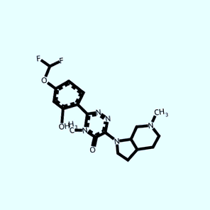 CN1CCC2CCN(c3nnc(-c4ccc(OC(F)F)cc4O)n(C)c3=O)C2C1